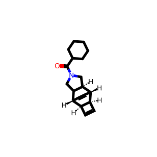 O=C(C1CCCCC1)N1CC2[C@@H](C1)[C@H]1C=C[C@@H]2[C@@H]2C=C[C@@H]21